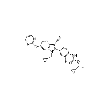 C[C@@H](OC(=O)Nc1ccc(-c2c(C#N)c3ccc(Oc4ncccn4)cc3n2CC2CC2)cc1F)C1CC1